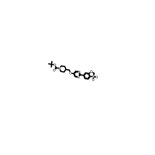 CC(C)(C)OC(=O)N1CCC(COc2cnc(-c3ccc4c(c3)OCS4(=O)=O)nc2)CC1